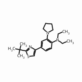 CCN(CC)c1ccc(-c2csc(C(C)(C)C)n2)cc1N1CCCC1